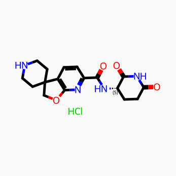 Cl.O=C1CC[C@H](NC(=O)c2ccc3c(n2)OCC32CCNCC2)C(=O)N1